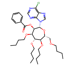 CCCCOC[C@H]1O[C@@H](n2cnc3c(Cl)ncnc32)[C@H](OC(=O)c2ccccc2)[C@H](OCCCC)[C@@H](OCCCC)[C@@H]1OCCCC